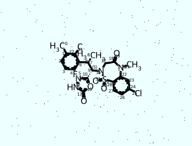 Cc1ccc(F)c([C@@H](C)[C@@H](c2n[nH]c(=O)o2)N2CC(=O)N(C)c3cc(Cl)ccc3S2(=O)=O)c1C